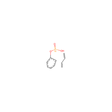 C=CC=C.O=[PH](O)Oc1ccccc1